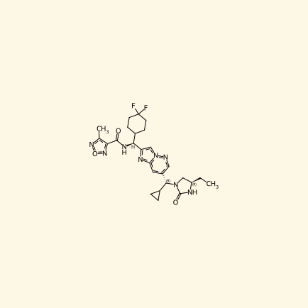 CC[C@@H]1CN([C@@H](c2cnn3cc([C@@H](NC(=O)c4nonc4C)C4CCC(F)(F)CC4)nc3c2)C2CC2)C(=O)N1